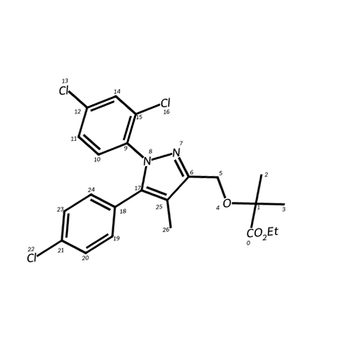 CCOC(=O)C(C)(C)OCc1nn(-c2ccc(Cl)cc2Cl)c(-c2ccc(Cl)cc2)c1C